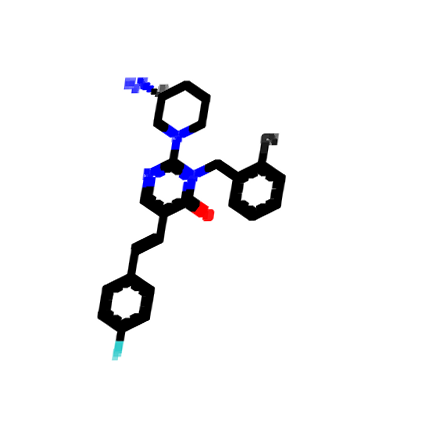 N#Cc1ccccc1Cn1c(N2CCC[C@@H](N)C2)ncc(C=Cc2ccc(F)cc2)c1=O